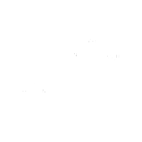 CCCCCc1nc2cc(N3CCOC3=O)ccc2cc1C(=O)O